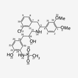 COc1ccc(C(Cc2cccc(Cl)c2)NCC(O)Cc2ccc(O)c(NS(C)(=O)=O)c2)cc1OC